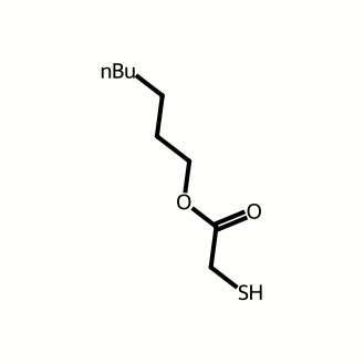 CCCCCCCOC(=O)CS